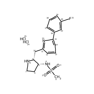 CS(=O)(=O)N[C@@H]1CCN[C@@H]1Cc1cccc(-c2cccc(F)c2)n1.Cl.Cl